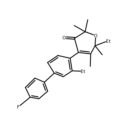 CCc1cc(-c2ccc(F)cc2)ccc1C1=C(C)C(C)(CC)OC(C)(C)C1=O